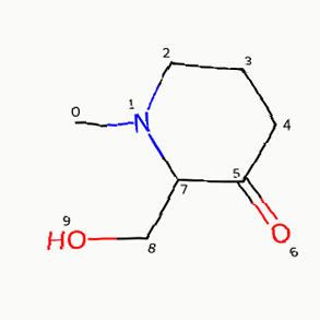 CN1CCCC(=O)C1CO